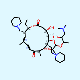 CC[C@H]1OC(=O)C[C@@H](O)[C@H](C)[C@@H](OC(OC(C)C(O)CN(C)C)C(C)O)[C@@H](CCN2CCCCC2)C[C@@H](C)C(=O)/C=C/C(C)=C/[C@@H]1CN1CCCCC1